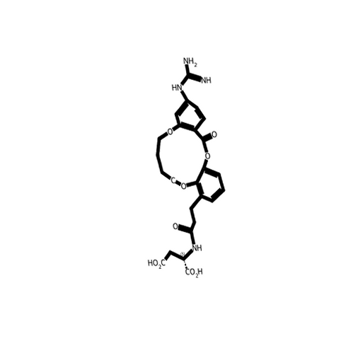 N=C(N)Nc1ccc2c(c1)OCCCCOc1c(CCC(=O)N[C@@H](CC(=O)O)C(=O)O)cccc1OC2=O